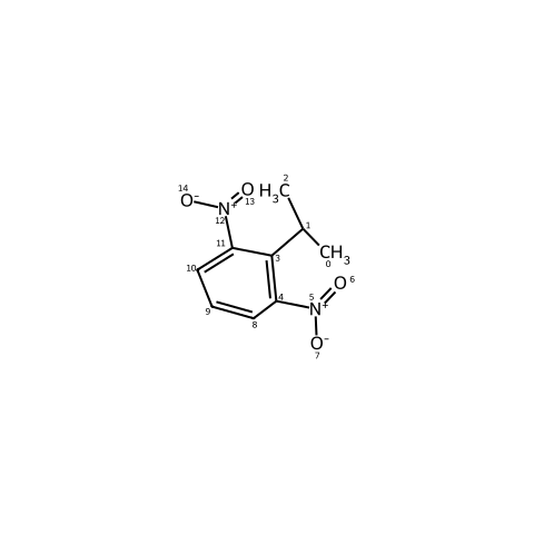 CC(C)c1c([N+](=O)[O-])cccc1[N+](=O)[O-]